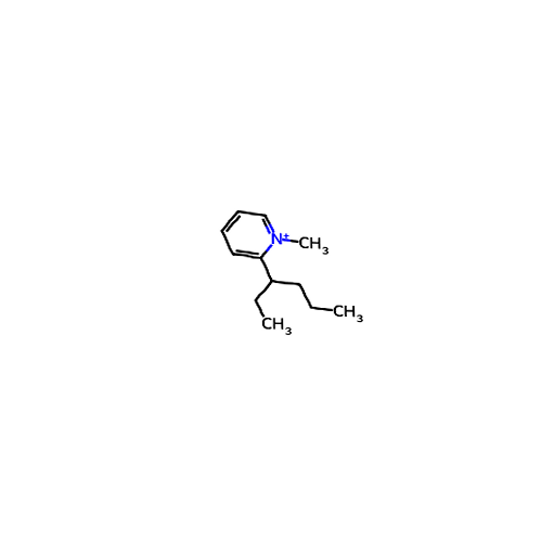 CCCC(CC)c1cccc[n+]1C